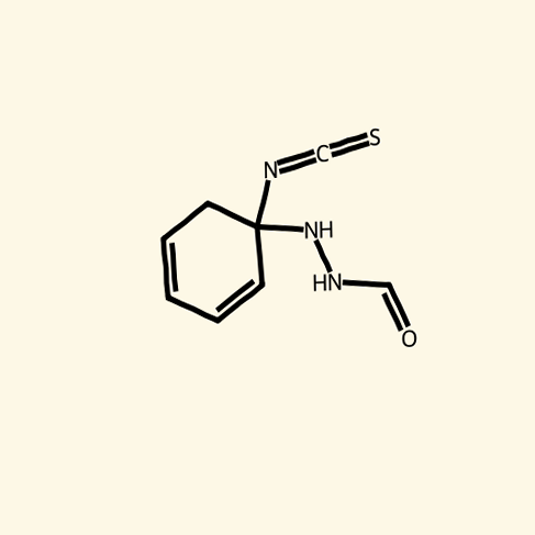 O=CNNC1(N=C=S)C=CC=CC1